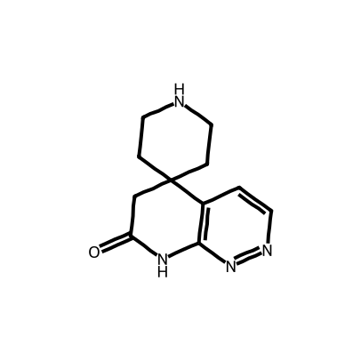 O=C1CC2(CCNCC2)c2ccnnc2N1